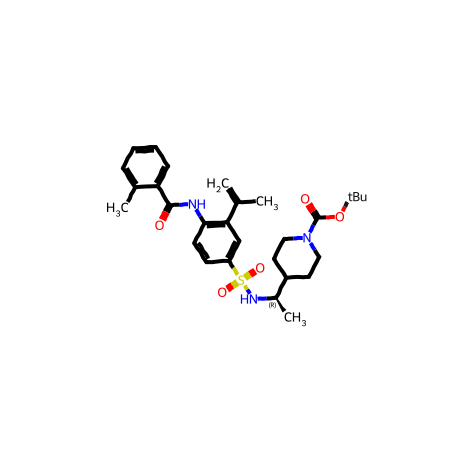 C=C(C)c1cc(S(=O)(=O)N[C@H](C)C2CCN(C(=O)OC(C)(C)C)CC2)ccc1NC(=O)c1ccccc1C